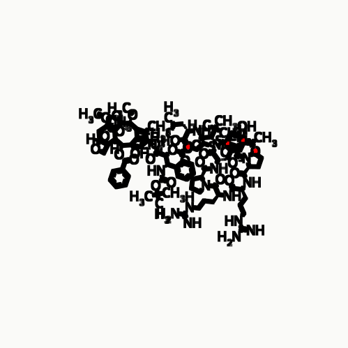 CO[C@H]1C(=O)[C@]2(C)[C@@H](OC)C[C@H]3OC[C@@]3(OC(C)=O)[C@H]2[C@H](OC(=O)c2ccccc2)[C@]2(O)CC(OC(=O)C(OC(=O)OCCSSC(C)(C)[C@H](NC(C)=O)C(=O)N3CCC[C@H]3C(=O)N[C@@H](CCCNC(=N)N)C(=O)N[C@@H](CCCNC(=N)N)C(=O)N3CCC[C@H]3C(=O)N[C@@H](Cc3ccc(O)cc3)C(=O)N[C@H](C(=O)N[C@@H](CC(C)C)C(=O)O)C(C)(C)C)[C@@H](NC(=O)OC(C)(C)C)c3ccccc3)C(C)=C1C2(C)C